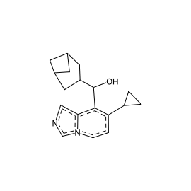 OC(c1c(C2CC2)ccn2cncc12)C1CC2CC(C2)C1